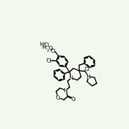 Cl.O.O=C1COCCN1CCN1CCC(Cc2ccccc2)(C(=O)N2CCCC2)CC1(c1ccccc1)c1ccc(Cl)c(Cl)c1